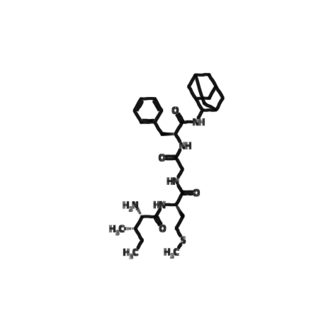 CC[C@H](C)[C@H](N)C(=O)N[C@H](CCSC)C(=O)NCC(=O)N[C@@H](Cc1ccccc1)C(=O)NC1C2CC3CC(C2)CC1C3